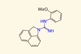 COc1ccccc1NC(=N)N1Cc2cccc3cccc1c23